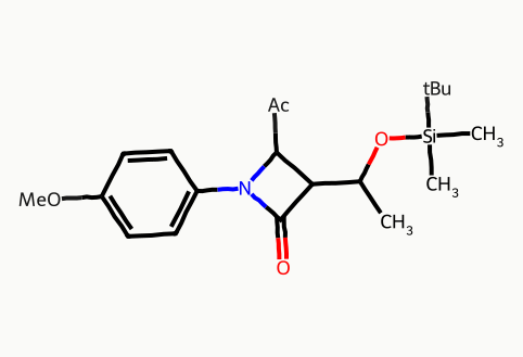 COc1ccc(N2C(=O)C(C(C)O[Si](C)(C)C(C)(C)C)C2C(C)=O)cc1